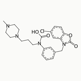 CN1CCN(CCCN(C(=O)O)c2cccc(Cn3c(=O)oc4ccc(Cl)cc43)c2)CC1